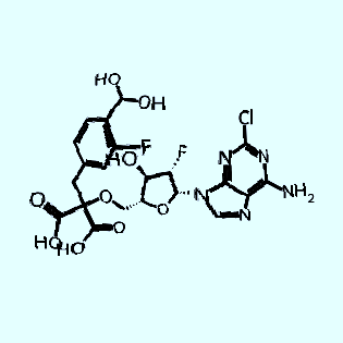 Nc1nc(Cl)nc2c1ncn2[C@@H]1O[C@H](COC(Cc2ccc(C(O)O)c(F)c2)(C(=O)O)C(=O)O)[C@@H](O)[C@@H]1F